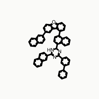 c1ccc(-c2cccc(C3=NC(c4ccc(-c5cccc6oc7ccc(-c8ccc9ccccc9c8)cc7c56)c5ccccc45)NC(c4ccc5ccccc5c4)=N3)c2)cc1